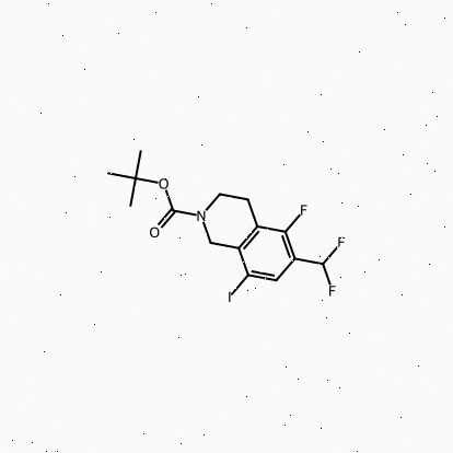 CC(C)(C)OC(=O)N1CCc2c(F)c(C(F)F)cc(I)c2C1